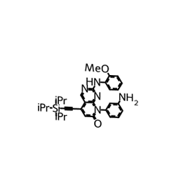 COc1ccccc1Nc1ncc2c(C#C[Si](C(C)C)(C(C)C)C(C)C)cc(=O)n(-c3cccc(N)c3)c2n1